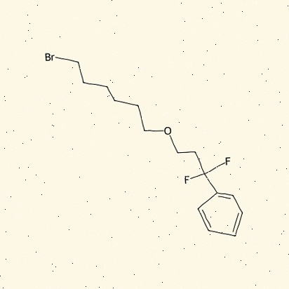 FC(F)(CCOCCCCCCBr)c1ccccc1